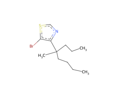 CCCCC(C)(CCC)c1ncsc1Br